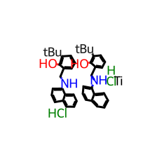 CC(C)(C)c1cccc(CNc2cccc3ccccc23)c1O.CC(C)(C)c1cccc(CNc2cccc3ccccc23)c1O.Cl.Cl.[Ti]